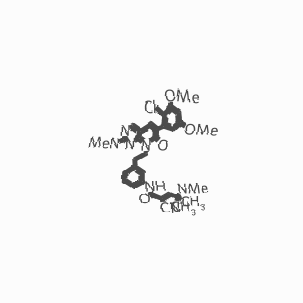 CNc1ncc2cc(-c3cc(OC)cc(OC)c3Cl)c(=O)n(CCc3cccc(NC(=O)C(C#N)=CC(C)(C)NC)c3)c2n1